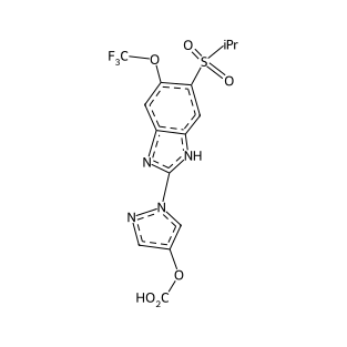 CC(C)S(=O)(=O)c1cc2[nH]c(-n3cc(OC(=O)O)cn3)nc2cc1OC(F)(F)F